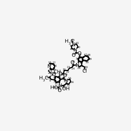 COc1c(CC(C)SSc2ccccn2)cc2c(c1OCCCCCC(=O)N1CC(CCl)c3c1cc(OC(=O)N1CCN(C)CC1)c1ccccc31)C(=O)N1CCCC1C(O)N2C(=O)O